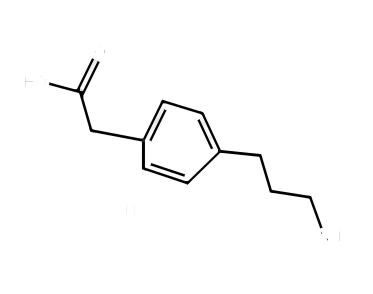 Cl.NCCCc1ccc(CC(=O)O)cc1